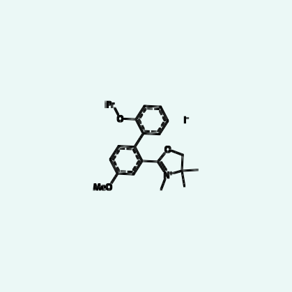 COc1ccc(-c2ccccc2OC(C)C)c(C2=[N+](C)C(C)(C)CO2)c1.[I-]